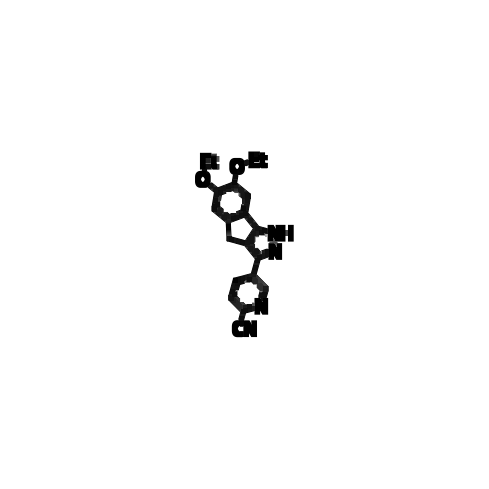 CCOc1cc2c(cc1OCC)-c1[nH]nc(-c3ccc(C#N)nc3)c1C2